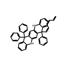 C=C/C=C\C=C/C1(c2ccccc2)c2ccccc2Nc2cc3c(cc21)Nc1ccccc1C3(c1ccccc1)c1ccccc1